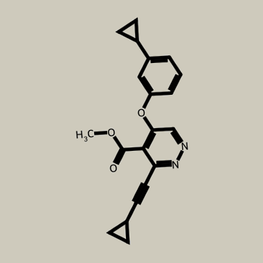 COC(=O)c1c(Oc2cccc(C3CC3)c2)cnnc1C#CC1CC1